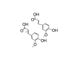 COc1cc(/C=C/C(=O)O)ccc1O.COc1cc(C=CC(=O)O)ccc1O